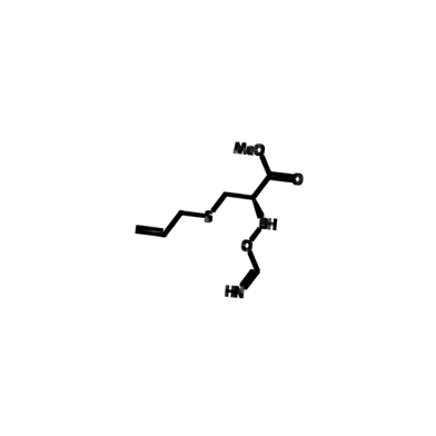 C=CCSC[C@H](BOC=N)C(=O)OC